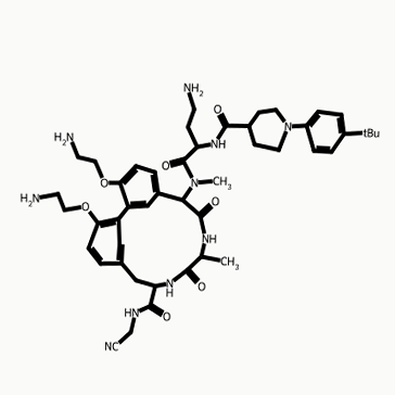 CC1NC(=O)C(N(C)C(=O)C(CCN)NC(=O)C2CCN(c3ccc(C(C)(C)C)cc3)CC2)c2ccc(OCCN)c(c2)-c2cc(ccc2OCCN)CC(C(=O)NCC#N)NC1=O